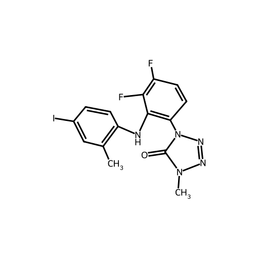 Cc1cc(I)ccc1Nc1c(-n2nnn(C)c2=O)ccc(F)c1F